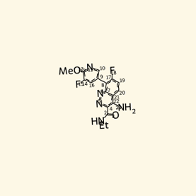 CCNC(=O)c1nnc2c(-c3cnc(OC)c(F)c3)c(F)ccc2c1N